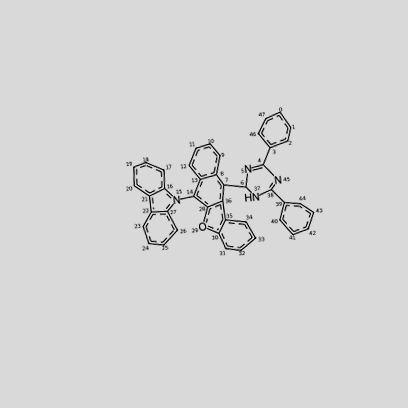 c1ccc(C2=NC(c3c4ccccc4c(-n4c5ccccc5c5ccccc54)c4oc5ccccc5c34)NC(c3ccccc3)=N2)cc1